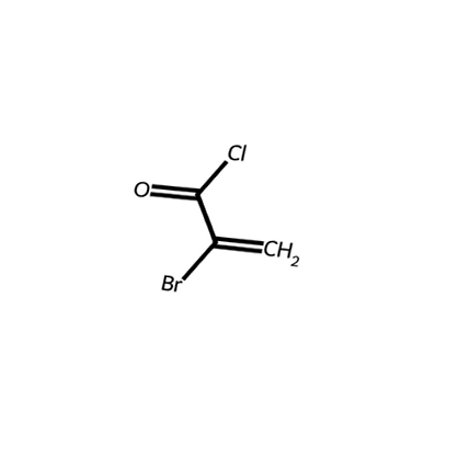 C=C(Br)C(=O)Cl